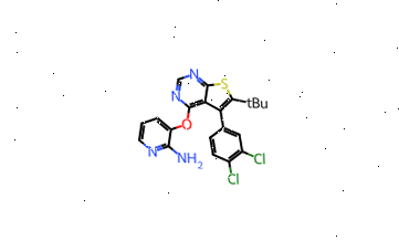 CC(C)(C)c1sc2ncnc(Oc3cccnc3N)c2c1-c1ccc(Cl)c(Cl)c1